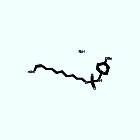 CCCCCCCC/C=C\CCCCCCCCOS(=O)(=O)Nc1ccc(OC)cc1.[NaH]